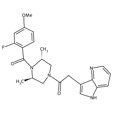 COc1ccc(C(=O)N2[C@H](C)CN(C(=O)Cc3c[nH]c4cccnc34)C[C@H]2C)c(F)c1